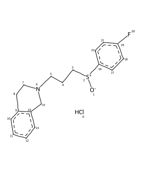 Cl.[O-][S+](CCCN1CCc2ccccc2C1)c1ccc(F)cc1